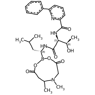 CC(C)C[C@H](NC(=O)[C@@H](NC(=O)c1cccc(-c2ccccc2)n1)[C@@H](C)O)B1OC(=O)CC(C)N(C)CC(=O)O1